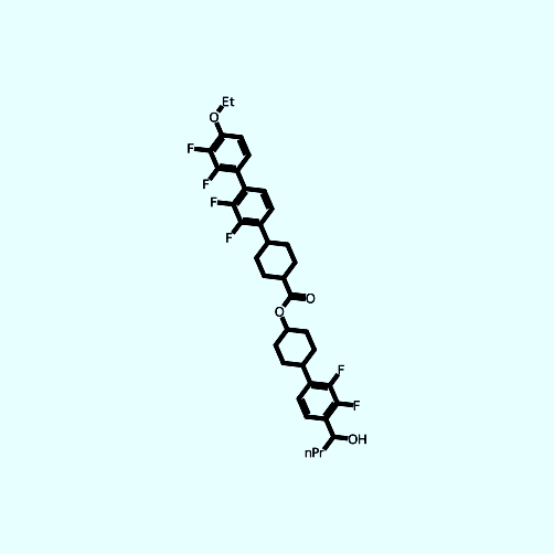 CCCC(O)c1ccc(C2CCC(OC(=O)C3CCC(c4ccc(-c5ccc(OCC)c(F)c5F)c(F)c4F)CC3)CC2)c(F)c1F